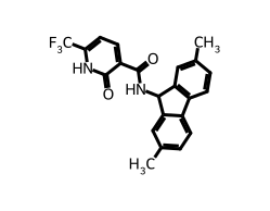 Cc1ccc2c(c1)C(NC(=O)c1ccc(C(F)(F)F)[nH]c1=O)c1cc(C)ccc1-2